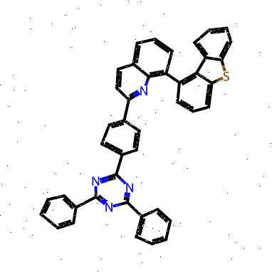 c1ccc(-c2nc(-c3ccccc3)nc(-c3ccc(-c4ccc5cccc(-c6cccc7sc8ccccc8c67)c5n4)cc3)n2)cc1